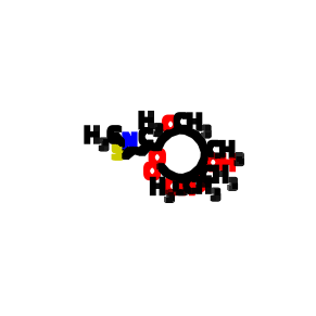 C/C(=C\c1csc(C)n1)C1CC2O[C@]2(C)CCC[C@H](C)C(O)[C@@H](C)C(=O)C(C)(C)[C@@H](O)CC(=O)O1